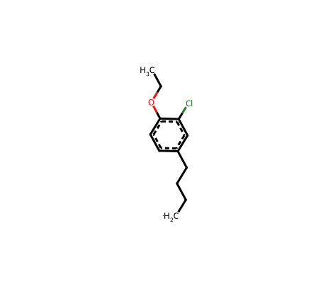 [CH2]CCCc1ccc(OCC)c(Cl)c1